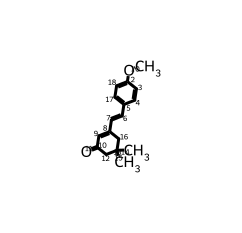 COc1ccc(/C=C/C2=CC(=O)CC(C)(C)C2)cc1